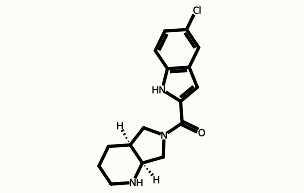 O=C(c1cc2cc(Cl)ccc2[nH]1)N1C[C@@H]2CCCN[C@@H]2C1